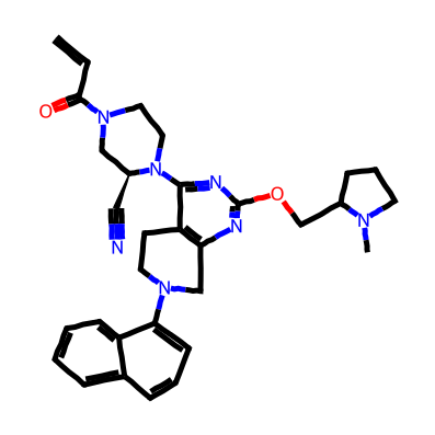 C=CC(=O)N1CCN(c2nc(OCC3CCCN3C)nc3c2CCN(c2cccc4ccccc24)C3)[C@@H](C#N)C1